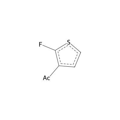 CC(=O)c1ccsc1F